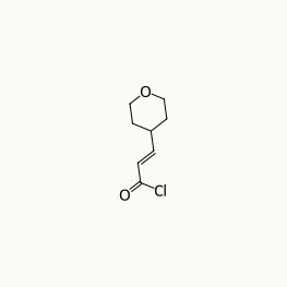 O=C(Cl)C=CC1CCOCC1